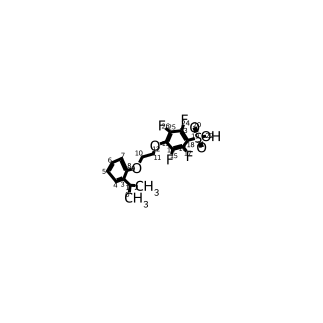 CC(C)c1ccccc1OCCOc1c(F)c(F)c(S(=O)(=O)O)c(F)c1F